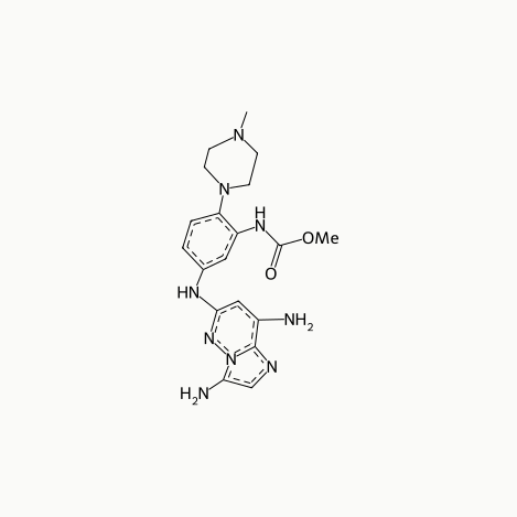 COC(=O)Nc1cc(Nc2cc(N)c3ncc(N)n3n2)ccc1N1CCN(C)CC1